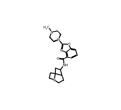 CN1CCN(c2nc3c(C(=O)NC4CC56CCN5CCC46)cccc3o2)CC1